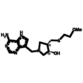 COCCSC[C@H]1CN(Cc2c[nH]c3c(N)ncnc23)C[C@H]1O